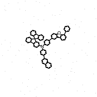 c1ccc(-c2cccc3c2oc2ccc(-c4ccc(N(c5ccc(-c6ccc7ccccc7c6)cc5)c5ccc6c(c5)C5(c7ccccc7-c7ccccc75)c5ccccc5-6)cc4)cc23)cc1